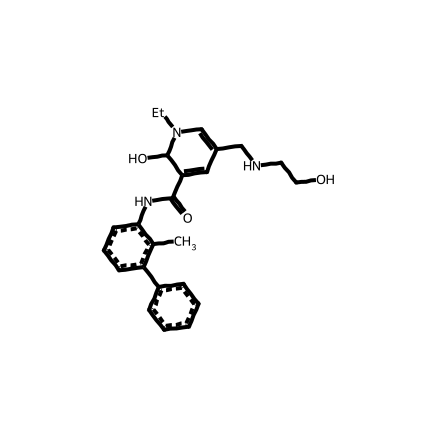 CCN1C=C(CNCCO)C=C(C(=O)Nc2cccc(-c3ccccc3)c2C)C1O